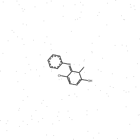 CC1C(O)=CC=C(Cl)C1=Nc1ccccc1